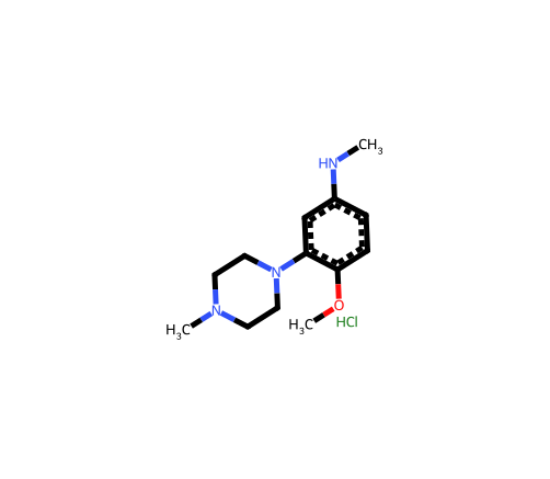 CNc1ccc(OC)c(N2CCN(C)CC2)c1.Cl